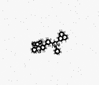 C1=Cc2cc(-c3cc(-c4cccc(-c5ccc6c(c5)C5(c7ccccc7O6)c6ccccc6-c6ccccc65)c4)nc(-c4ccccc4)n3)cc3cccc(c23)C1